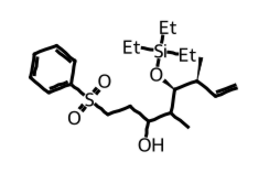 C=C[C@H](C)[C@H](O[Si](CC)(CC)CC)C(C)C(O)CCS(=O)(=O)c1ccccc1